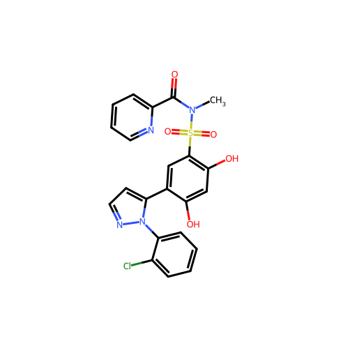 CN(C(=O)c1ccccn1)S(=O)(=O)c1cc(-c2ccnn2-c2ccccc2Cl)c(O)cc1O